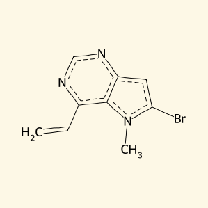 C=Cc1ncnc2cc(Br)n(C)c12